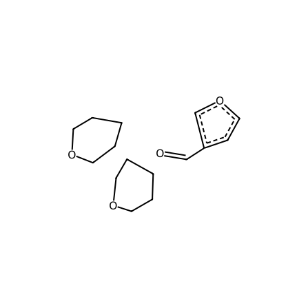 C1CCOCC1.C1CCOCC1.O=Cc1ccoc1